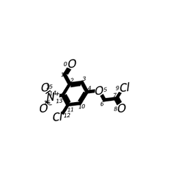 O=Cc1cc(OCC(=O)Cl)cc(Cl)c1[N+](=O)[O-]